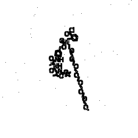 COCCOCCOCCOCCOCCOCCOCCOCCN(Cc1ccccc1C(=O)Cl)C(=O)OCc1ccc(NC(=O)[C@H](C)NC(=O)C(NC(=O)OC(C)(C)C)C(C)C)cc1